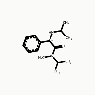 CC(C)N[C@@H](C(=O)N(C)C(C)C)c1ccccc1